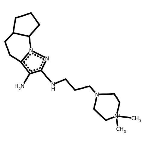 C[N+]1(C)CCN(CCCNc2nn3c(c2N)CCC2CCCC23)CC1